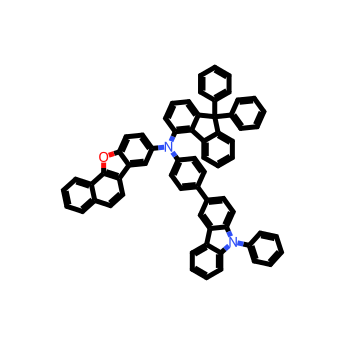 c1ccc(-n2c3ccccc3c3cc(-c4ccc(N(c5ccc6oc7c8ccccc8ccc7c6c5)c5cccc6c5-c5ccccc5C6(c5ccccc5)c5ccccc5)cc4)ccc32)cc1